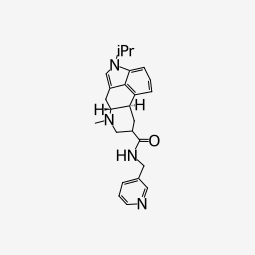 CC(C)n1cc2c3c(cccc31)[C@H]1CC(C(=O)NCc3cccnc3)CN(C)[C@@H]1C2